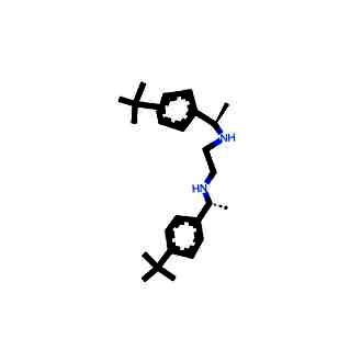 C[C@@H](NCCN[C@H](C)c1ccc(C(C)(C)C)cc1)c1ccc(C(C)(C)C)cc1